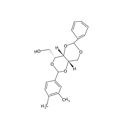 Cc1ccc(C2O[C@H]3COC(c4ccccc4)O[C@H]3[C@@H](CO)O2)cc1C